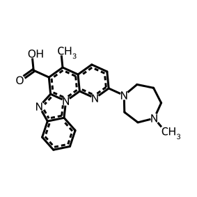 Cc1c(C(=O)O)c2nc3ccccc3n2c2nc(N3CCCN(C)CC3)ccc12